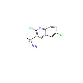 C[C@H](N)c1cc2cc(Cl)ccc2nc1Cl